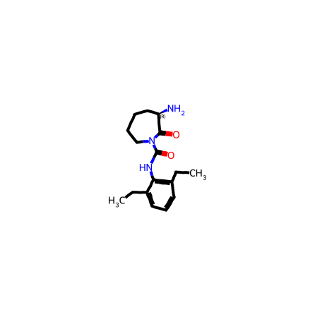 CCc1cccc(CC)c1NC(=O)N1CCCC[C@@H](N)C1=O